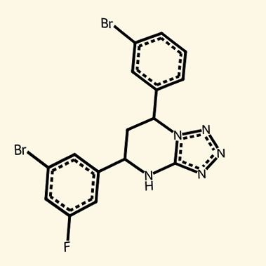 Fc1cc(Br)cc(C2CC(c3cccc(Br)c3)n3nnnc3N2)c1